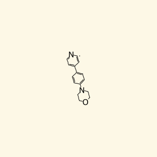 [c]1cc(-c2ccc(N3CCOCC3)cc2)ccn1